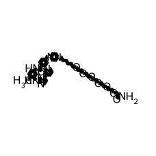 Cc1ccc(NC(=O)c2ccc(CN3CCN(CCCCCCOCCOCCOCCOCCOCCOCC(N)=O)CC3)cc2)cc1Nc1nccc(-c2cccnc2)n1